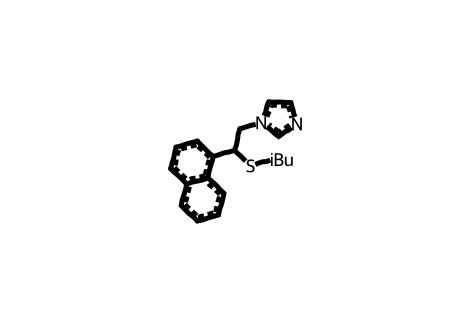 CCC(C)SC(Cn1ccnc1)c1cccc2ccccc12